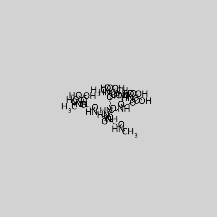 CCNC(=O)CCCCCNC(=O)C(CCCCNC(=O)CCCCOC1OC(CO)C(O)C(O)C1NC(C)=O)NC(=O)C(CCCCNC(=O)CCCCOC1OC(CO)C(O)C(O)C1NC(C)=O)NC(=O)CCCCOC(OC(CO)[C@@H](C)O)[C@H](CO)NC(C)=O